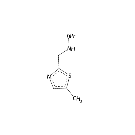 CCCNCc1ncc(C)s1